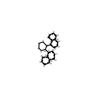 c1ccc2c([C]3CCCCC3c3cccc4ccccc34)cccc2c1